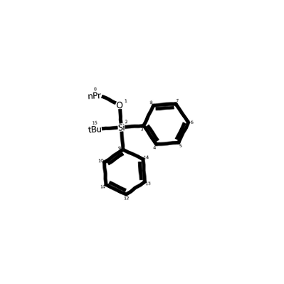 C[CH]CO[Si](c1ccccc1)(c1ccccc1)C(C)(C)C